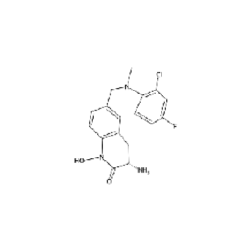 CN(Cc1ccc2c(c1)C[C@H](N)C(=O)N2O)c1ccc(F)cc1Cl